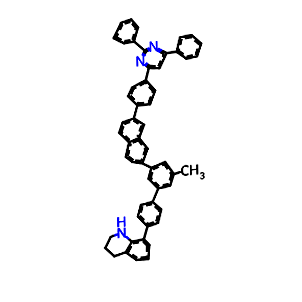 Cc1cc(-c2ccc(-c3cccc4c3NCCC4)cc2)cc(-c2ccc3ccc(-c4ccc(-c5cc(-c6ccccc6)nc(-c6ccccc6)n5)cc4)cc3c2)c1